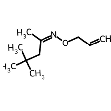 C=CCON=C(C)CC(C)(C)C